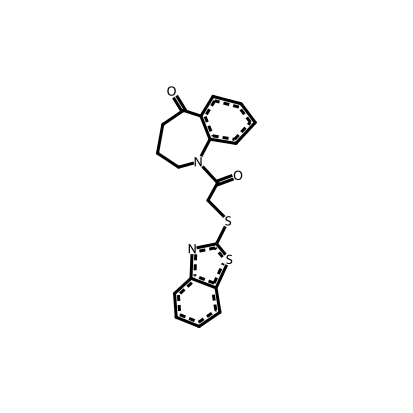 O=C1CCCN(C(=O)CSc2nc3ccccc3s2)c2ccccc21